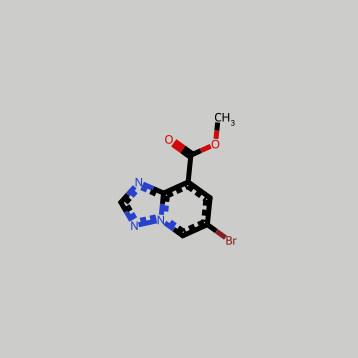 COC(=O)c1cc(Br)cn2ncnc12